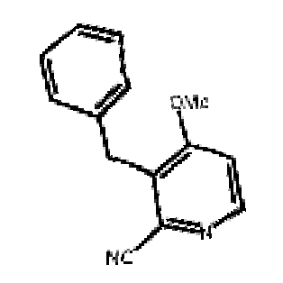 COc1ccnc(C#N)c1Cc1ccccc1